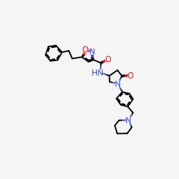 O=C(NC1CC(=O)N(c2ccc(CN3CCCCC3)cc2)C1)c1cc(CCc2ccccc2)on1